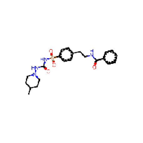 CC1CCN(NC(=O)NS(=O)(=O)c2ccc(CCNC(=O)c3ccccc3)cc2)CC1